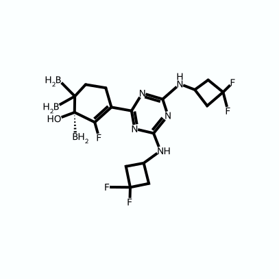 BC1(B)CCC(c2nc(NC3CC(F)(F)C3)nc(NC3CC(F)(F)C3)n2)=C(F)[C@@]1(B)O